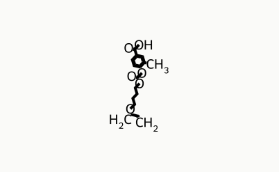 C=CC(=C)OCCCCOC(=O)Oc1ccc(C(=O)O)cc1C